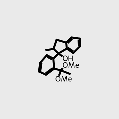 COC(C)(OC)c1ccccc1C1(O)c2ccccc2CC1C